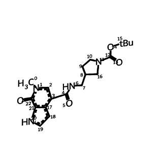 Cn1cc(C(=O)NCC2CCN(C(=O)OC(C)(C)C)C2)c2cc[nH]c2c1=O